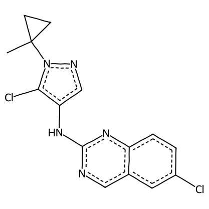 CC1(n2ncc(Nc3ncc4cc(Cl)ccc4n3)c2Cl)CC1